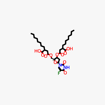 CCCCCCCCC(CC(=O)OC[C@@H]1O[C@H](n2cc(F)c(=O)[nH]c2=O)CC1OC(=O)CC(CCCCCCCC)C(=O)O)C(=O)O